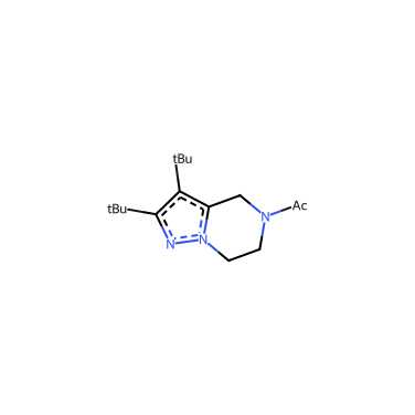 CC(=O)N1CCn2nc(C(C)(C)C)c(C(C)(C)C)c2C1